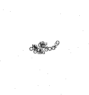 CC(C)(C)OC(=O)C(CCn1nnc2ccccc2c1=O)(CC(=O)c1cc2cc(OCC3(F)CCOCC3)ccc2o1)C(=O)OC(C)(C)C